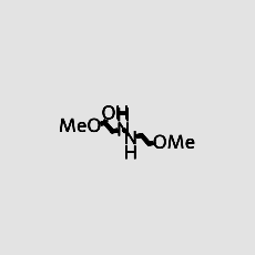 COCCNNCC(O)OC